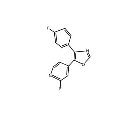 Fc1ccc(-c2ncoc2-c2ccnc(F)c2)cc1